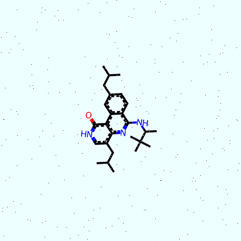 CC(C)Cc1ccc2c(NC(C)C(C)(C)C)nc3c(CC(C)C)c[nH]c(=O)c3c2c1